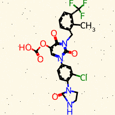 Cc1c(Cn2c(=O)c(OC(=O)O)cn(-c3ccc(N4CCNC4=O)c(Cl)c3)c2=O)cccc1C(F)(F)F